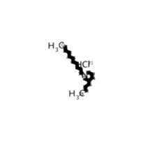 CCCCCCCCCCCN1CCCC(CCCC)C1.Cl